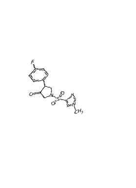 Cn1cnc(S(=O)(=O)N2CC(=O)C(c3ccc(F)cc3)C2)c1